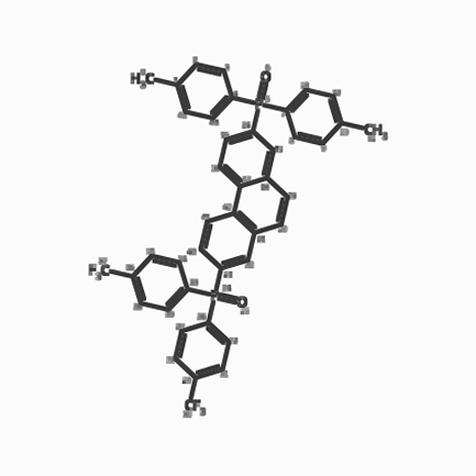 Cc1ccc(P(=O)(c2ccc(C)cc2)c2ccc3c(ccc4cc(P(=O)(c5ccc(C(F)(F)F)cc5)c5ccc(C(F)(F)F)cc5)ccc43)c2)cc1